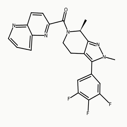 C[C@H]1c2nn(C)c(-c3cc(F)c(F)c(F)c3)c2CCN1C(=O)c1ccc2ncccc2n1